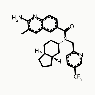 Cc1cc2cc(C(=O)N(Cc3ccc(C(F)(F)F)cn3)[C@H]3CC[C@@H]4CCC[C@H]4C3)ccc2nc1N